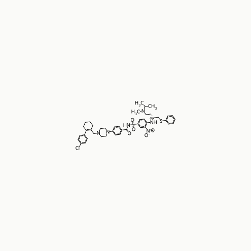 CC(C)N(C)CC[C@H](CSc1ccccc1)Nc1ccc(S(=O)(=O)NC(=O)c2ccc(N3CCN(CC4=C(c5ccc(Cl)cc5)CCCC4)CC3)cc2)cc1[N+](=O)[O-]